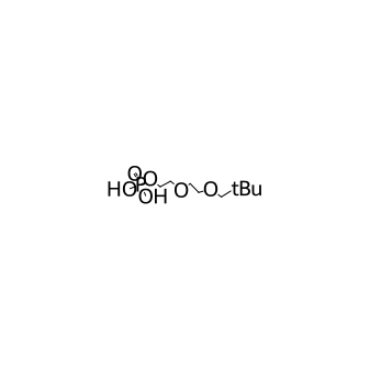 CC(C)(C)COCCOCCOP(=O)(O)O